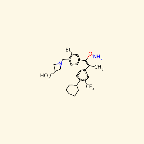 CCc1cc(/C(ON)=C(/C)c2ccc(C3CCCCC3)c(C(F)(F)F)c2)ccc1CN1CC(C(=O)O)C1